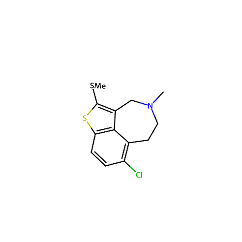 CSc1sc2ccc(Cl)c3c2c1CN(C)CC3